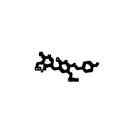 CCCCCCCCCCCn1cc(Cc2cnc(=O)n(CC(=O)O)c2)c(=O)nc1SCc1ccc(F)cc1